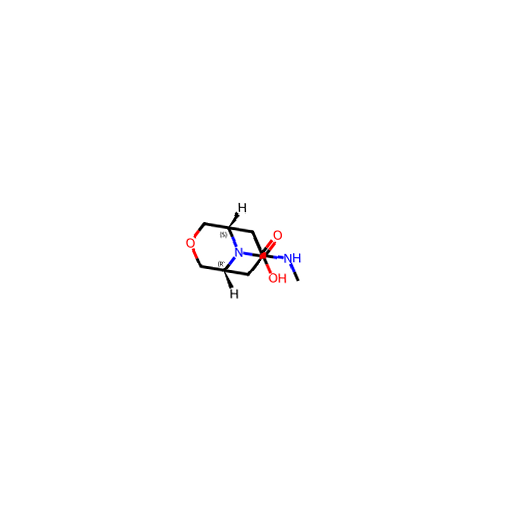 CNC1C[C@H]2COC[C@@H](C1)N2C(=O)O